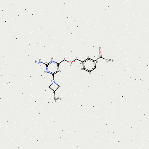 CNC1CN(c2cc(COCc3cccc(C(=O)OC)c3)nc(N)n2)C1